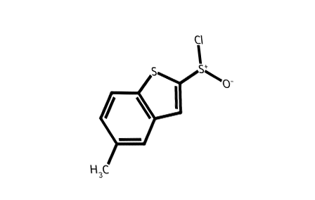 Cc1ccc2sc([S+]([O-])Cl)cc2c1